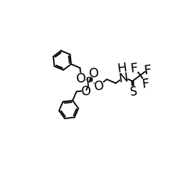 O=P(OCCNC(=S)C(F)(F)F)(OCc1ccccc1)OCc1ccccc1